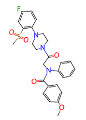 COc1ccc(C(=O)N(CC(=O)N2CCN(c3ccc(F)cc3S(C)(=O)=O)CC2)c2ccccc2)cc1